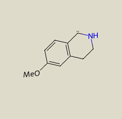 COc1ccc2c(c1)CCN[C]2